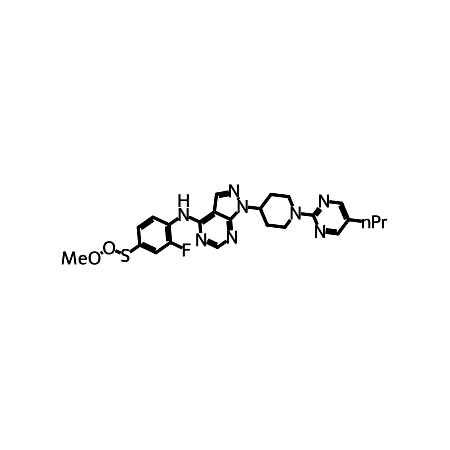 CCCc1cnc(N2CCC(n3ncc4c(Nc5ccc(SOOC)cc5F)ncnc43)CC2)nc1